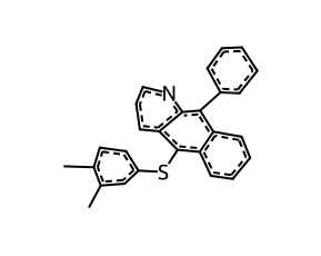 Cc1ccc(Sc2c3ccccc3c(-c3ccccc3)c3ncccc23)cc1C